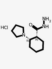 Cl.NNC(=O)[C@@H]1CCCC[C@@H]1N1CCCC1